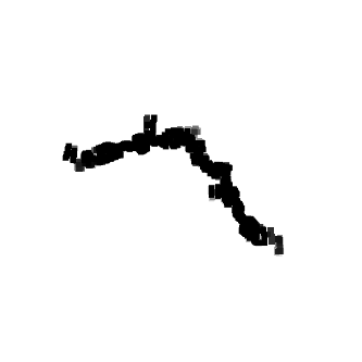 C[n+]1ccc(/C=C/c2ccc(NCCCn3cc[n+](CCSSCC[n+]4ccn(CCCNc5ccc(/C=C/c6cc[n+](C)cc6)cc5)c4)c3)cc2)cc1